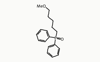 COCCCCCP(=O)(c1ccccc1)c1ccccc1